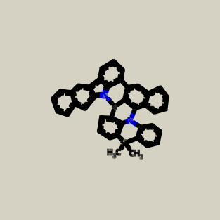 C[Si]1(C)c2ccccc2N2c3c(cccc31)B1c3c(cc4ccccc4c32)-c2cccc3c4cc5ccccc5cc4n1c23